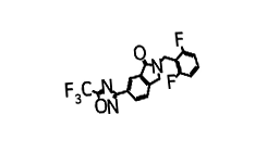 O=C1c2cc(-c3noc(C(F)(F)F)n3)ccc2CN1Cc1c(F)cccc1F